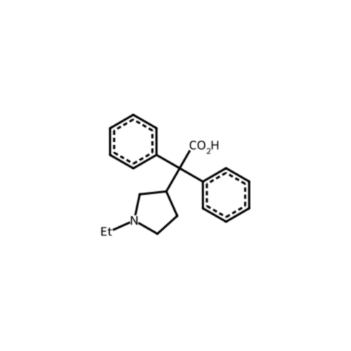 CCN1CCC(C(C(=O)O)(c2ccccc2)c2ccccc2)C1